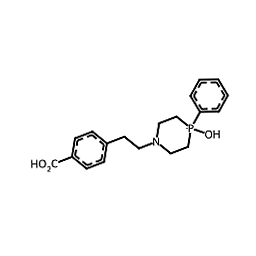 O=C(O)c1ccc(CCN2CC[P](O)(c3ccccc3)CC2)cc1